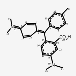 Cc1ccc(C(=C2C=CC(=[N+](C)C)C=C2)c2ccc(N(C)C)cc2C(=O)O)cc1